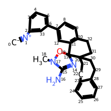 [C-]#[N+]c1cccc(-c2ccc3c(c2)C2(N=C(N)N(C)O2)C2(CCc4ccccc4CC2)CC3)c1